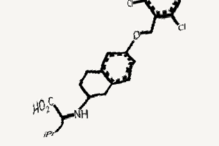 CC(C)C(NC1CCc2cc(OCc3c(Cl)cccc3Cl)ccc2C1)C(=O)O